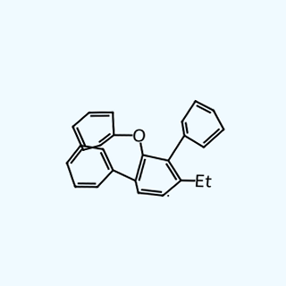 CCc1[c]cc(-c2ccccc2)c(Oc2ccccc2)c1-c1ccccc1